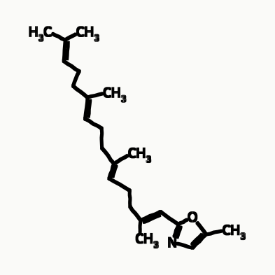 CC(C)=CCC/C(C)=C/CC/C(C)=C/CC/C(C)=C/c1ncc(C)o1